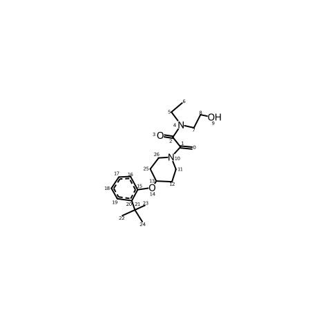 C=C(C(=O)N(CC)CCO)N1CCC(Oc2ccccc2C(C)(C)C)CC1